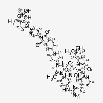 C=CC(=O)Nc1cc(Nc2nccc(-c3ccnc(N4CCn5c(cc6c5CC(C)(C)C6)C4=O)c3CO)n2)ccc1N1CCN(C2CCN(c3ccc4c(c3)C(=O)N(c3ccc(N5CCC(C)(OP(=O)(O)O)CC5)nc3)C4=O)CC2)C[C@@H]1C